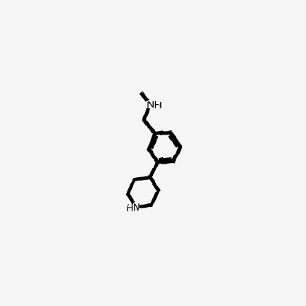 CNCc1cccc(C2CCNCC2)c1